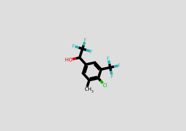 Cc1cc(C(O)C(F)(F)F)cc(C(F)(F)F)c1Cl